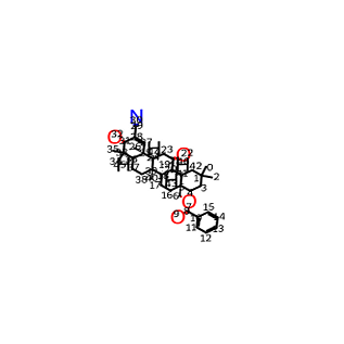 CC1(C)CC[C@]2(COC(=O)c3ccccc3)CC[C@]3(C)[C@H](C(=O)C[C@@H]4[C@@]5(C)C=C(C#N)C(=O)C(C)(C)[C@@H]5CC[C@]43C)[C@H]2C1